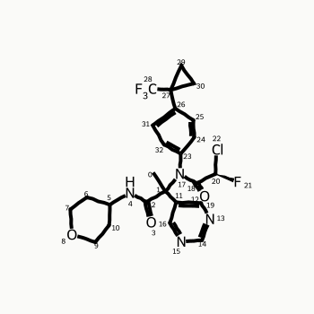 CC(C(=O)NC1CCOCC1)(c1cncnc1)N(C(=O)[C@H](F)Cl)c1ccc(C2(C(F)(F)F)CC2)cc1